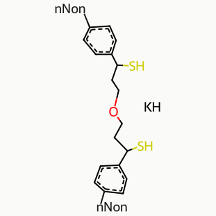 CCCCCCCCCc1ccc(C(S)CCOCCC(S)c2ccc(CCCCCCCCC)cc2)cc1.[KH]